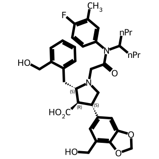 CCCC(CCC)N(C(=O)CN1C[C@H](c2cc(CO)c3c(c2)OCO3)[C@@H](C(=O)O)[C@@H]1Cc1ccccc1CO)c1ccc(F)c(C)c1